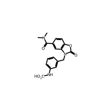 CN(C)C(=O)c1ccc2oc(=O)n(Cc3cccc(NC(=O)O)c3)c2c1